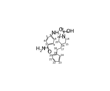 NC(=O)c1ccc(N)cc1.O=C(O)N1CCC(CCc2ccccc2)CC1